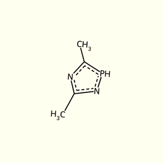 Cc1n[pH]c(C)n1